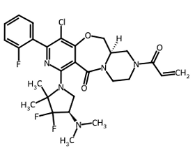 C=CC(=O)N1CCN2C(=O)c3c(N4C[C@@H](N(C)C)C(F)(F)C4(C)C)nc(-c4ccccc4F)c(Cl)c3OC[C@H]2C1